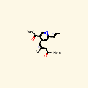 C/C=C/c1cc(/C=C(\CC(=O)CCCCCCC)C(C)=O)c(C(=O)OC)cn1